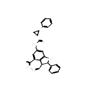 O=C1NN=CC2c3c(cc(NC(=O)[C@@H]4C[C@H]4c4ccccc4)cc31)NC2c1ccccc1